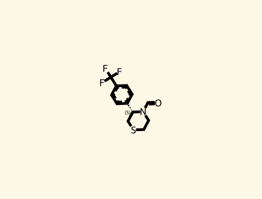 O=CN1CCSC[C@@H]1c1ccc(C(F)(F)F)cc1